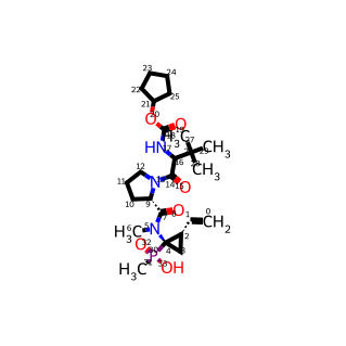 C=C[C@@H]1C[C@]1(N(C)C(=O)[C@@H]1CCCN1C(=O)C(NC(=O)OC1CCCC1)C(C)(C)C)P(C)(=O)O